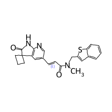 CN(Cc1cc2ccccc2s1)C(=O)/C=C/c1cnc2c(c1)C1(CCC1)C(=O)N2